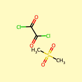 CS(C)(=O)=O.O=C(Cl)C(=O)Cl